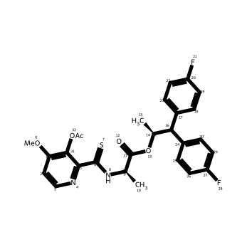 COc1ccnc(C(=S)N[C@H](C)C(=O)O[C@@H](C)C(c2ccc(F)cc2)c2ccc(F)cc2)c1OC(C)=O